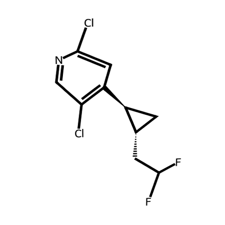 FC(F)C[C@H]1C[C@@H]1c1cc(Cl)ncc1Cl